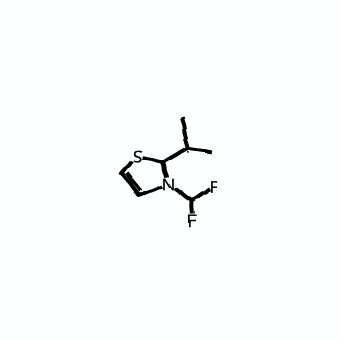 C[C](C)C1SC=CN1C(F)F